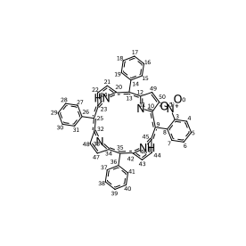 O=[N+]([O-])c1ccccc1-c1c2nc(c(-c3ccccc3)c3ccc([nH]3)c(-c3ccccc3)c3nc(c(-c4ccccc4)c4ccc1[nH]4)C=C3)C=C2